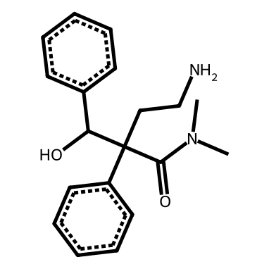 CN(C)C(=O)C(CCN)(c1ccccc1)C(O)c1ccccc1